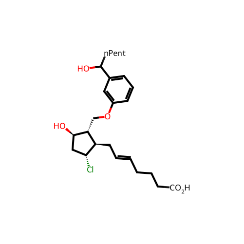 CCCCCC(O)c1cccc(OC[C@@H]2[C@@H](CC=CCCCC(=O)O)[C@H](Cl)C[C@H]2O)c1